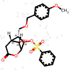 COc1ccc(COC[C@H]2[C@H]3CC(=O)OC([C@H]3O)[C@@H]2OS(=O)(=O)c2ccccc2)cc1